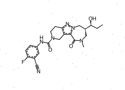 CC[C@H](O)[C@H]1CN(C)C(=O)c2c3c(nn2C1)CCN(C(=O)Nc1ccc(F)c(C#N)c1)C3